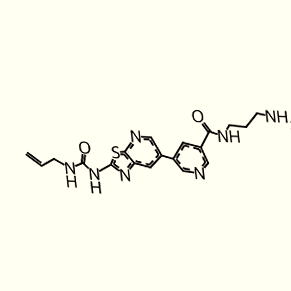 C=CCNC(=O)Nc1nc2cc(-c3cncc(C(=O)NCCCN)c3)cnc2s1